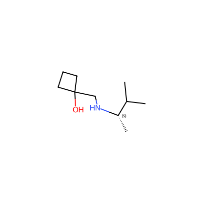 CC(C)[C@H](C)NCC1(O)CCC1